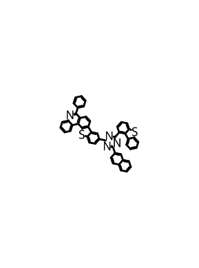 c1ccc(-c2nc3ccccc3c3c2ccc2c4cc(-c5nc(-c6ccc7ccccc7c6)nc(-c6cccc7sc8ccccc8c67)n5)ccc4sc23)cc1